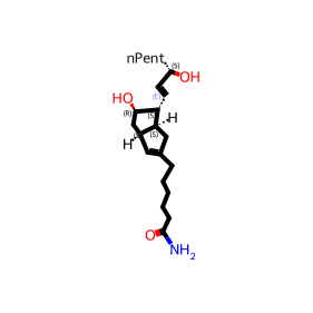 CCCCC[C@H](O)/C=C/[C@@H]1[C@H]2CC(CCCCCC(N)=O)=C[C@H]2C[C@H]1O